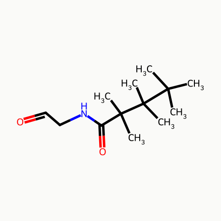 CC(C)(C)C(C)(C)C(C)(C)C(=O)NCC=O